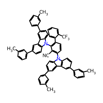 Cc1cccc(-c2ccc3c(c2)c2cc(-c4cccc(C)c4)ccc2n3-c2ccc(-c3ccccc3C(F)(F)F)c(-n3c4ccc(-c5cccc(C)c5)cc4c4cc(-c5cccc(C)c5)ccc43)c2C#N)c1